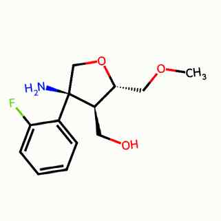 COC[C@H]1OC[C@@](N)(c2ccccc2F)[C@@H]1CO